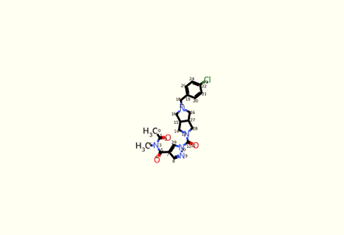 CC(=O)N(C)C(=O)c1cnn(C(=O)N2CC3CN(Cc4ccc(Cl)cc4)CC3C2)c1